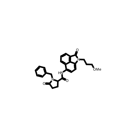 COCCCN1C(=O)c2cccc3c(NC(=O)C4CCC(=O)N4Cc4ccccc4)ccc1c23